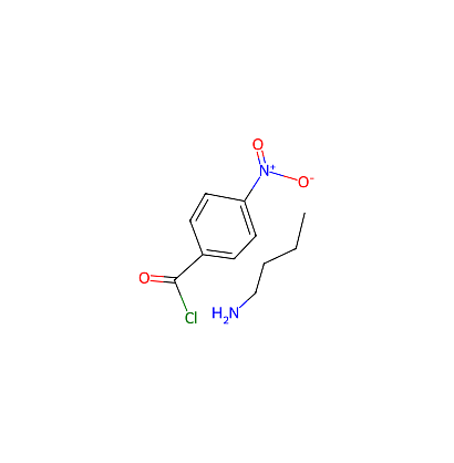 CCCCN.O=C(Cl)c1ccc([N+](=O)[O-])cc1